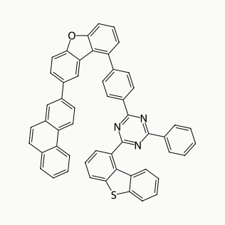 c1ccc(-c2nc(-c3ccc(-c4cccc5oc6ccc(-c7ccc8c(ccc9ccccc98)c7)cc6c45)cc3)nc(-c3cccc4sc5ccccc5c34)n2)cc1